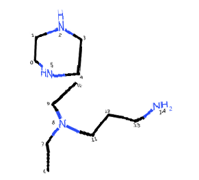 C1CNCCN1.CCN(CC)CCCN